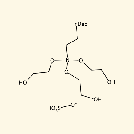 CCCCCCCCCCCC[N+](OCCO)(OCCO)OCCO.O=S(=O)([O-])O